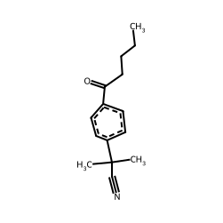 CCCCC(=O)c1ccc(C(C)(C)C#N)cc1